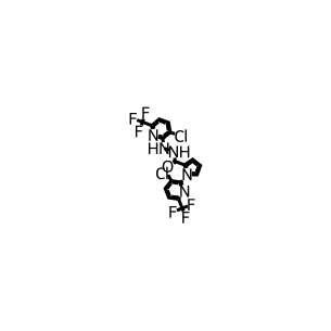 O=C(NNc1nc(C(F)(F)F)ccc1Cl)c1cccn1-c1nc(C(F)(F)F)ccc1Cl